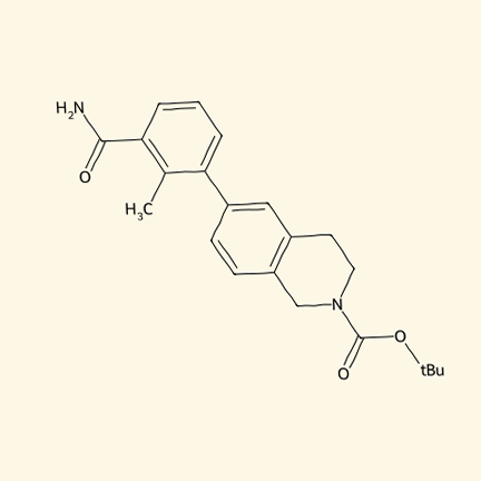 Cc1c(C(N)=O)cccc1-c1ccc2c(c1)CCN(C(=O)OC(C)(C)C)C2